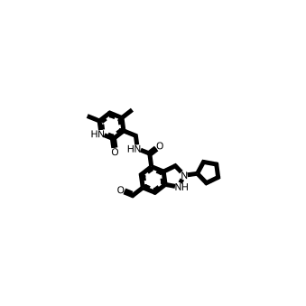 Cc1cc(C)c(CNC(=O)c2cc(C=O)cc3c2CN(C2CCCC2)N3)c(=O)[nH]1